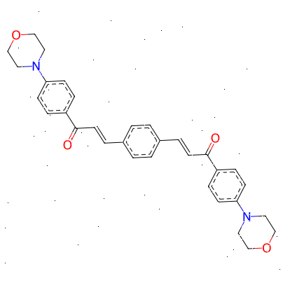 O=C(C=Cc1ccc(C=CC(=O)c2ccc(N3CCOCC3)cc2)cc1)c1ccc(N2CCOCC2)cc1